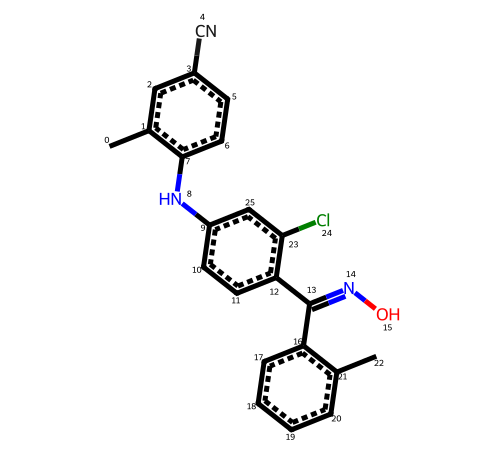 Cc1cc(C#N)ccc1Nc1ccc(C(=NO)c2ccccc2C)c(Cl)c1